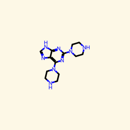 c1nc2c(N3CCNCC3)nc(N3CCNCC3)nc2[nH]1